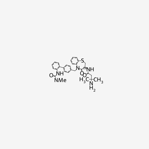 CNC(=O)Nc1ccccc1-c1ccc(CN2C(=O)[C@H](NC(=O)CC(C)(C)N)CSc3ccccc32)cc1